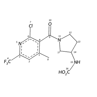 Cc1cc(C(F)(F)F)nc(Cl)c1C(=O)N1CCC(NC(=O)O)C1